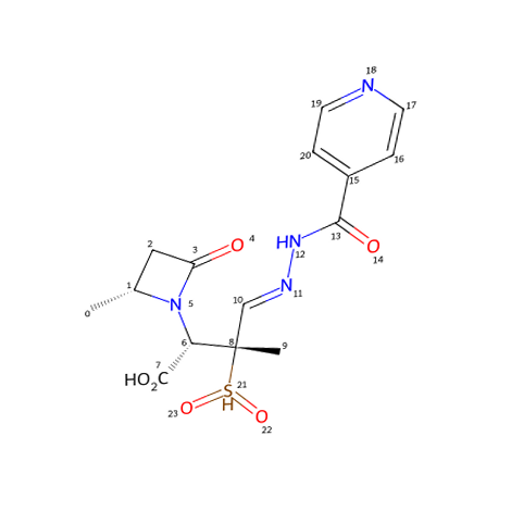 C[C@@H]1CC(=O)N1[C@@H](C(=O)O)[C@](C)(/C=N/NC(=O)c1ccncc1)[SH](=O)=O